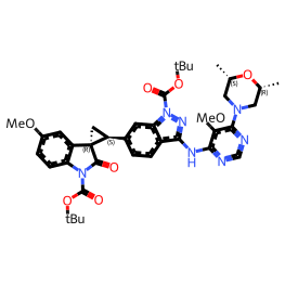 COc1ccc2c(c1)[C@]1(C[C@H]1c1ccc3c(Nc4ncnc(N5C[C@@H](C)O[C@@H](C)C5)c4OC)nn(C(=O)OC(C)(C)C)c3c1)C(=O)N2C(=O)OC(C)(C)C